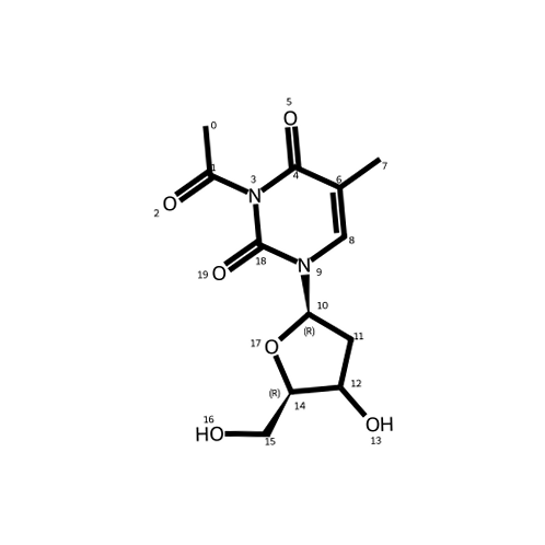 CC(=O)n1c(=O)c(C)cn([C@H]2CC(O)[C@@H](CO)O2)c1=O